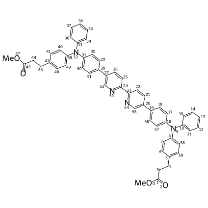 COC(=O)CCc1ccc(N(c2ccccc2)c2ccc(-c3ccc(-c4ccc(-c5ccc(N(c6ccccc6)c6ccc(CCC(=O)OC)cc6)cc5)cn4)nc3)cc2)cc1